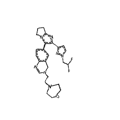 FC(F)Cn1ccc(-c2nc3n(c2-c2ccc4c(c2)CN(CCN2CCOCC2)C=N4)CCC3)n1